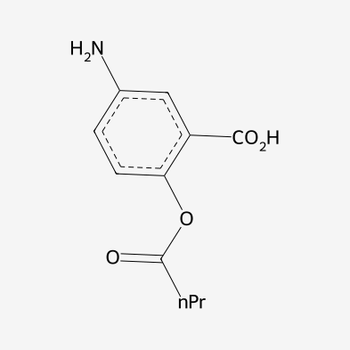 CCCC(=O)Oc1ccc(N)cc1C(=O)O